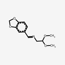 COC(C/N=C/c1ccc2c(c1)OCO2)OC